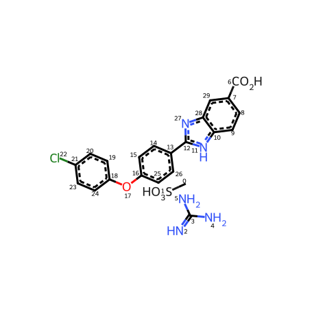 CS(=O)(=O)O.N=C(N)N.O=C(O)c1ccc2[nH]c(-c3ccc(Oc4ccc(Cl)cc4)cc3)nc2c1